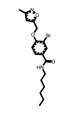 CCCCCCNC(=O)c1ccc(OCc2cc(C)no2)c(Br)c1